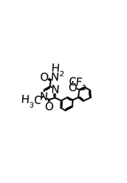 Cn1cc(C(N)=O)nc(-c2cccc(-c3ccccc3OC(F)(F)F)c2)c1=O